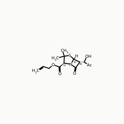 C=CCOC(=O)[C@@H]1N2C(=O)[C@@H](C(O)C(C)=O)[C@H]2SC1(C)C